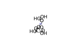 O=C(/C=C/c1ccc(O)c(O)c1)O[C@@H]1CC(C(=O)O)CC[C@@H](O)C1=O